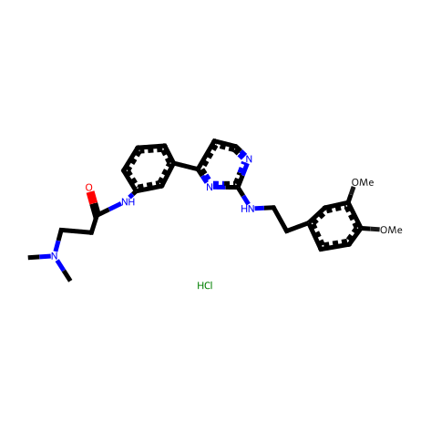 COc1ccc(CCNc2nccc(-c3cccc(NC(=O)CCN(C)C)c3)n2)cc1OC.Cl